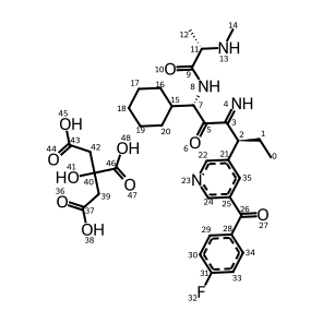 CC[C@H](C(=N)C(=O)[C@@H](NC(=O)[C@H](C)NC)C1CCCCC1)c1cncc(C(=O)c2ccc(F)cc2)c1.O=C(O)CC(O)(CC(=O)O)C(=O)O